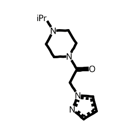 CC(C)N1CCN(C(=O)Cn2cccn2)CC1